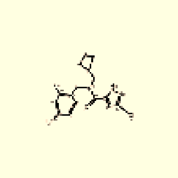 Cc1ccc(CN(CC2CCC2)C(=O)c2cc(Cl)n[nH]2)c(F)c1